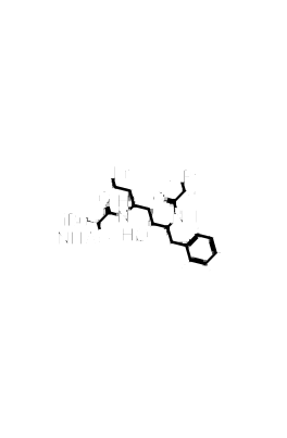 CCC(C)[C@H](NC(C)=O)C(=O)NC(CCC(C)C)C[C@H](O)C(Cc1ccccc1)NC(=O)CC(C)C